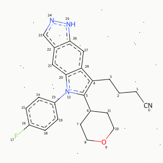 N#CCCCc1c(C2CCOCC2)n(-c2ccc(F)cc2)c2cc3cn[nH]c3cc12